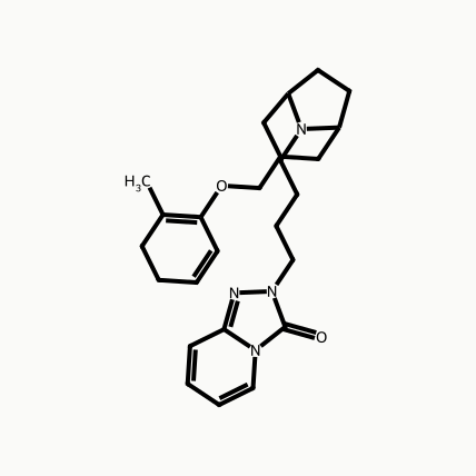 CC1=C(OCC2CC3CCC(C2)N3CCCCn2nc3ccccn3c2=O)C=CCC1